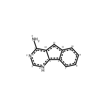 Nc1nc[nH]c2c3ccccc3cc1-2